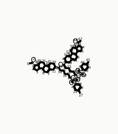 CC(=O)[C@H]1CCC2C3CC=C4C[C@@H](C(CCCCCOS(=O)(=O)c5ccc(C)cc5)OC(CCCCCOS(=O)(=O)c5ccc(C)cc5)[C@H]5CC[C@@]6(C)C(=CCC7C6CC[C@@]6(C)C7CC[C@@H]6C(C)=O)C5)CC[C@]4(C)C3CC[C@@]21C